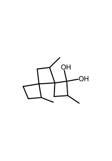 CC1CC2(C(C)CC23CCC3C)C1(O)O